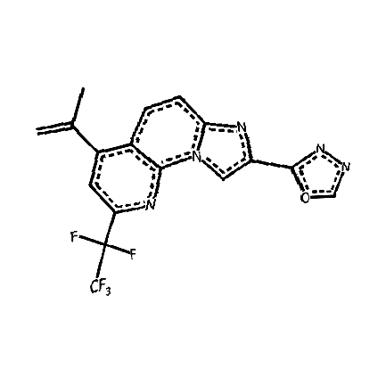 C=C(C)c1cc(C(F)(F)C(F)(F)F)nc2c1ccc1nc(-c3nnco3)cn12